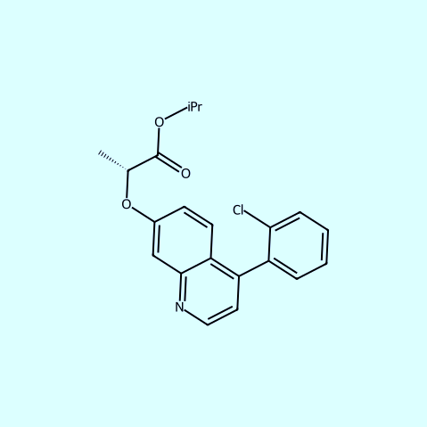 CC(C)OC(=O)[C@@H](C)Oc1ccc2c(-c3ccccc3Cl)ccnc2c1